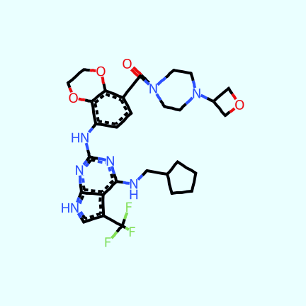 O=C(c1ccc(Nc2nc(NCC3CCCC3)c3c(C(F)(F)F)c[nH]c3n2)c2c1OCCO2)N1CCN(C2COC2)CC1